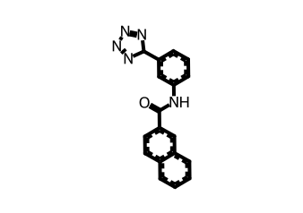 O=C(Nc1cccc(C2N=NN=N2)c1)c1ccc2ccccc2c1